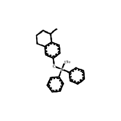 C[C]1CCCc2cc(O[Si](c3ccccc3)(c3ccccc3)C(C)(C)C)ccc21